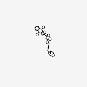 O=C(CC(=O)c1cc2c(o1)C(=O)c1ccccc1C2=O)OCC#CCN1CCOCC1